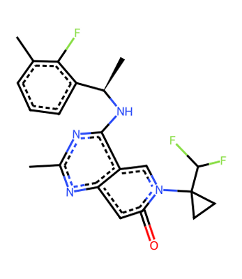 Cc1nc(N[C@H](C)c2cccc(C)c2F)c2cn(C3(C(F)F)CC3)c(=O)cc2n1